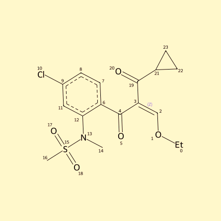 CCO/C=C(\C(=O)c1ccc(Cl)cc1N(C)S(C)(=O)=O)C(=O)C1CC1